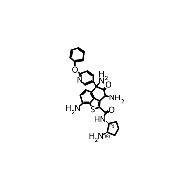 Nc1ccc2c3c(c(C(=O)N[C@@H]4CCC[C@H]4N)sc13)C(N)C(=O)C2(N)c1ccc(Oc2ccccc2)nc1